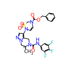 C[C@H]1Cn2ncc(N3C=CN(C(=O)OCc4ccccc4)CS3(=O)=O)c2CN1C(=O)Nc1cc(F)c(F)c(F)c1